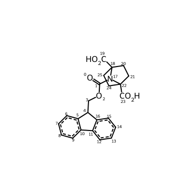 O=C(OCC1c2ccccc2-c2ccccc21)N1C2(C(=O)O)CCC1(C(=O)O)CC2